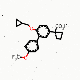 O=C(O)C1(c2ccc(OCC3CC3)c(-c3ccc(OC(F)(F)F)cc3)c2)CCC1